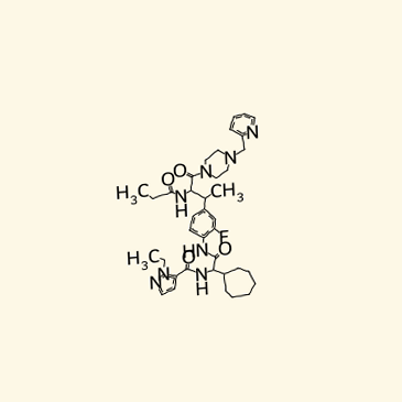 CCC(=O)NC(C(=O)N1CCN(Cc2ccccn2)CC1)C(C)c1ccc(NC(=O)C(NC(=O)c2ccnn2CC)C2CCCCCC2)c(F)c1